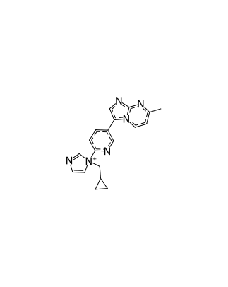 Cc1ccn2c(-c3ccc([N+]4(CC5CC5)C=CN=C4)nc3)cnc2n1